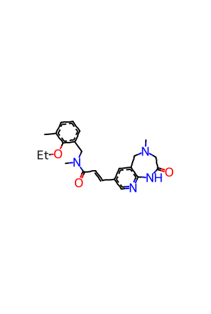 CCOc1c(C)cccc1CN(C)C(=O)C=Cc1cnc2c(c1)CN(C)CC(=O)N2